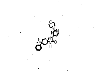 CN(C)C1(c2ccccc2)CCC2(CC1)CN(c1ccnc(N3CCOCC3)n1)C(=O)N2